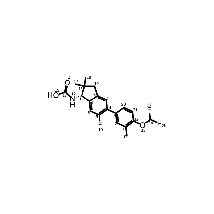 Cc1cc(-c2cc3c(cc2F)[C@H](NC(=O)O)C(C)(C)C3)ccc1OC(F)F